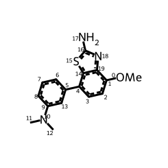 COc1ccc(-c2cccc(N(C)C)c2)c2sc(N)nc12